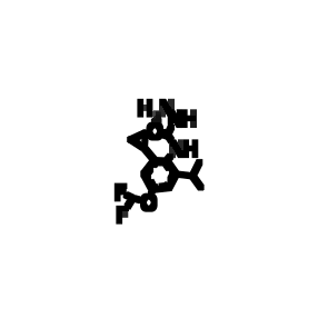 CC(C)c1cc(OC(F)F)cc(C2CC2)c1NC(=O)NN